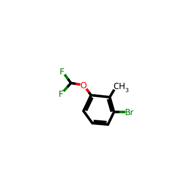 Cc1c(Br)cccc1OC(F)F